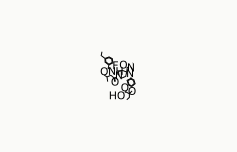 CCc1ccc(F)c(C(=O)NC(C(=O)N2CCC3(CC2)C(=O)N(C)CN3c2ccc(OC(CC)C(=O)O)cc2)C(C)C)c1